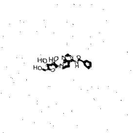 O=C(Nc1ncnc2c1ccn2[C@@H]1O[C@H](CO)[C@@H](O)[C@H]1O)c1ccccc1